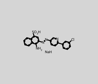 Nc1c(/N=N/c2ccc(-c3cccc(Cl)c3)nc2)cc(S(=O)(=O)O)c2ccccc12.[NaH]